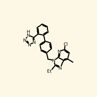 CCc1nc2c(C)cc(Cl)nc2n1Cc1ccc(-c2ccccc2-c2nnn[nH]2)cc1